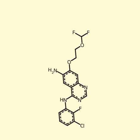 Nc1cc2c(Nc3cccc(Cl)c3F)ncnc2cc1OCCOC(F)F